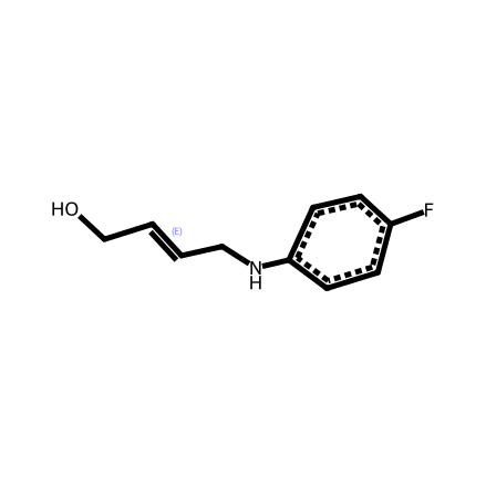 OC/C=C/CNc1ccc(F)cc1